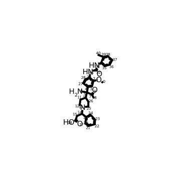 COc1cc(C(N)(C(C)=O)C2CCN(C(CC(=O)O)c3ccccc3)CC2)ccc1NC(=O)Nc1ccccc1C